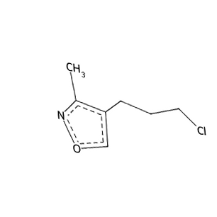 Cc1nocc1CCCCl